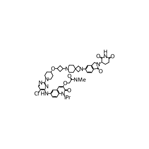 CNC(=O)COc1cc2cc(Nc3nc(N4CCC(OC5CC(N6CCC7(CC6)CN(c6ccc8c(c6)CN([C@@H]6CCC(=O)NC6=O)C8=O)C7)C5)CC4)ncc3Cl)ccc2n(C(C)C)c1=O